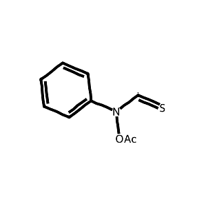 CC(=O)ON([C]=S)c1ccccc1